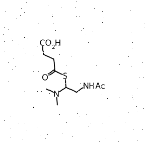 CC(=O)NCC(SC(=O)CCC(=O)O)N(C)C